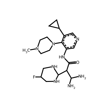 CN1CCN(c2c(NC(=O)C(C(N)N)C3NCC(F)CN3)cncc2C2CC2)CC1